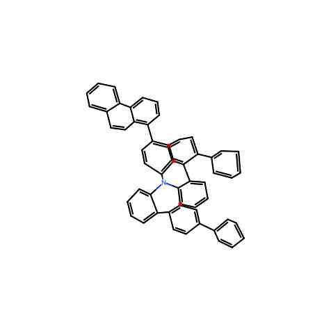 c1ccc(-c2ccc(-c3ccccc3N(c3ccc(-c4cccc5c4ccc4ccccc45)cc3)c3ccccc3-c3ccccc3-c3ccccc3)cc2)cc1